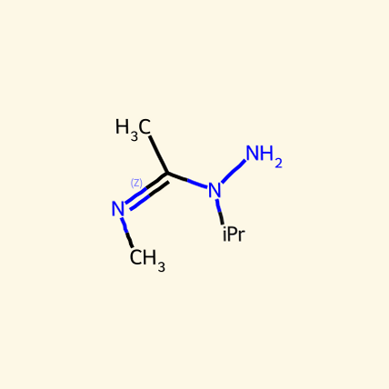 C/N=C(/C)N(N)C(C)C